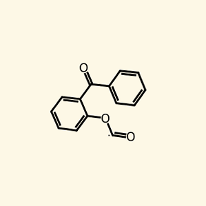 O=[C]Oc1ccccc1C(=O)c1ccccc1